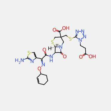 Nc1nc(C(=NOC2C=CCCC2)C(=O)NC2C(=O)N3CC(CSc4nnnn4CCC(=O)O)(C(=O)O)CS[C@H]23)cs1